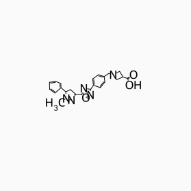 CN1N=C(c2nc(-c3ccc(CN4CC(C(=O)O)C4)cc3)no2)CC1c1ccccc1